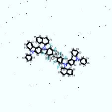 C[Si](C)(c1c(F)c(F)c(N(c2ccc3c(c2)c2ccccc2n3-c2ccccc2)c2cccc3ccccc23)c(F)c1F)c1c(F)c(F)c(N(c2ccc3c(c2)c2ccccc2n3-c2ccccc2)c2cccc3ccccc23)c(F)c1F